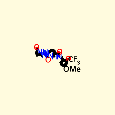 COc1ccc(CNC(=O)c2ccc3nn(C[C@H]4CCC(=O)N4)c(=O)n3c2)c(OC(F)(F)F)c1